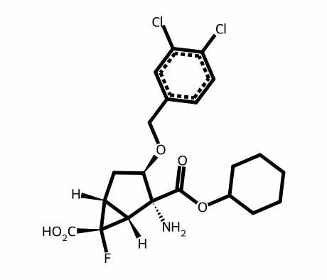 N[C@]1(C(=O)OC2CCCCC2)[C@H]2[C@@H](C[C@H]1OCc1ccc(Cl)c(Cl)c1)[C@]2(F)C(=O)O